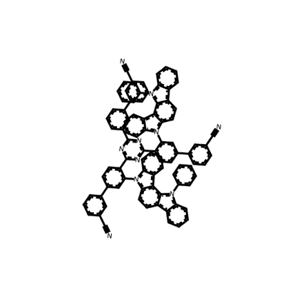 N#Cc1cccc(-c2cccc(-c3nc(-c4ccc(-c5cccc(C#N)c5)cc4-n4c5ccccc5c5c4ccc4c6ccccc6n(-c6ccccc6)c45)nc(-c4ccc(-c5cccc(C#N)c5)cc4-n4c5ccccc5c5c4ccc4c6ccccc6n(-c6ccccc6)c45)n3)c2)c1